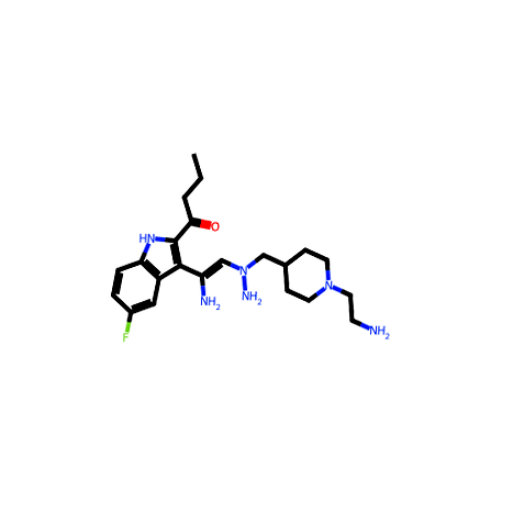 CCCC(=O)c1[nH]c2ccc(F)cc2c1/C(N)=C/N(N)CC1CCN(CCN)CC1